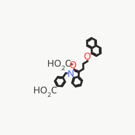 O=C(O)Oc1c(CCCOc2cccc3ccccc23)c2ccccc2n1Cc1ccc(C(=O)O)cc1